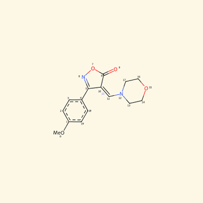 COc1ccc(C2=NOC(=O)/C2=C\N2CCOCC2)cc1